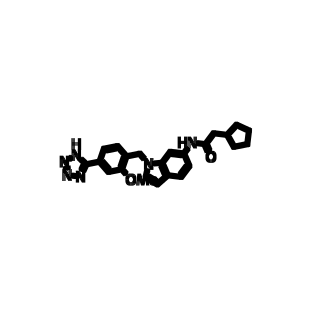 COc1cc(-c2nnn[nH]2)ccc1Cn1ccc2ccc(NC(=O)CC3CCCC3)cc21